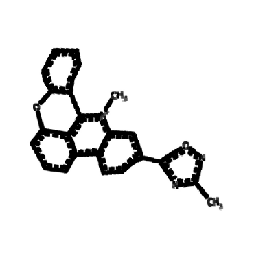 Cc1noc(-c2ccc3c4cccc5c4c([n+](C)c3c2)-c2ccccc2O5)n1